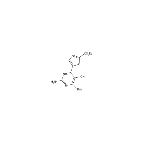 CCOC(=O)c1ccc(-c2nc(N)nc(SC)c2C#N)o1